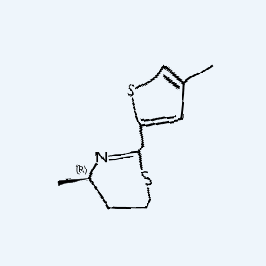 Cc1csc(C2=N[C@H](C)CCS2)c1